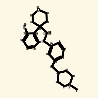 CN1CCC(Cc2cccc(CNC3(c4ccccc4F)CCOCC3)c2)CC1